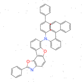 c1ccc(-c2ccc(N(c3ccccc3-c3cccc4ccccc34)c3cccc4c3oc3ccc5nc(-c6ccccc6)oc5c34)cc2)cc1